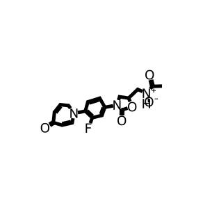 CC(=O)[N@@H+]([O-])CC1CN(c2ccc(N3C=CC(=O)C=CC3)c(F)c2)C(=O)O1